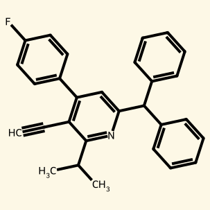 C#Cc1c(-c2ccc(F)cc2)cc(C(c2ccccc2)c2ccccc2)nc1C(C)C